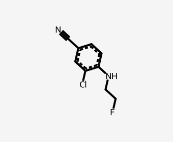 N#Cc1ccc(NCCF)c(Cl)c1